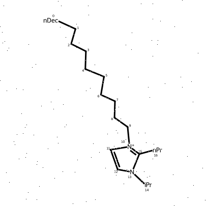 CCCCCCCCCCCCCCCCCCC[n+]1ccn(C(C)C)c1CCC